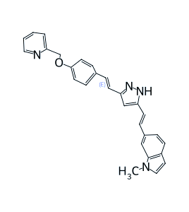 Cn1ccc2ccc(C=Cc3cc(/C=C/c4ccc(OCc5ccccn5)cc4)n[nH]3)cc21